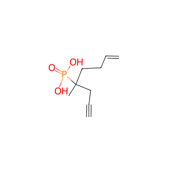 C#CCC(C)(CCC=C)P(=O)(O)O